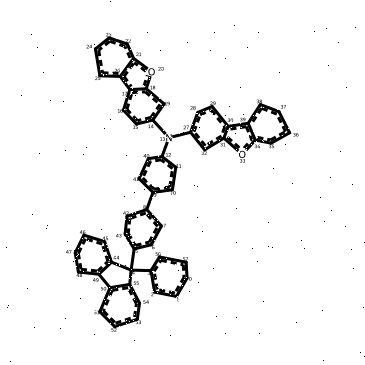 c1ccc(C2(c3ccc(-c4ccc(N(c5ccc6c(c5)oc5ccccc56)c5ccc6c(c5)oc5ccccc56)cc4)cc3)c3ccccc3-c3ccccc32)cc1